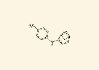 Cc1ccc(Nc2ccc3cc2C3)cc1